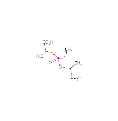 C=CP(=O)(OC(C)C(=O)O)OC(C)C(=O)O